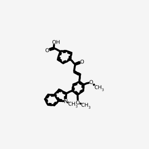 COc1cc(OC)c(-c2cc3ccccc3n2C)cc1C=CC(=O)c1ccc(C(=O)O)cc1